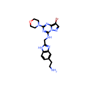 NCCc1ccc2[nH]c(CNc3nc(N4CCOCC4)nc4c(Br)cnn34)nc2c1